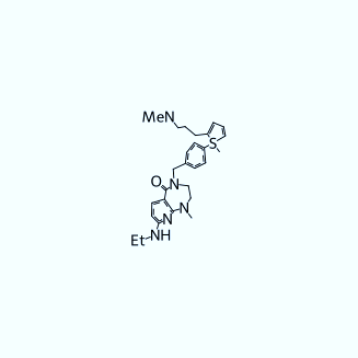 CCNc1ccc2c(n1)N(C)CCN(Cc1ccc(S3(C)C=CC=C3CCCNC)cc1)C2=O